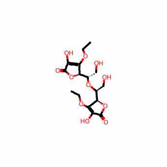 CCOC1=C(O)C(=O)O[C@@H]1[C@H](CO)O[C@@H](CO)[C@H]1OC(=O)C(O)=C1OCC